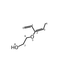 C=C/C(=C\C)OCCO